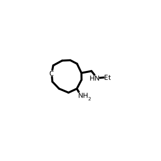 CCNCC1CCCCCCCCC(N)C1